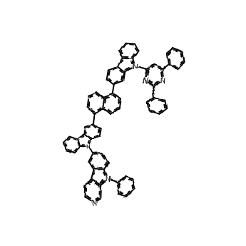 c1ccc(-c2cc(-n3c4ccccc4c4ccc(-c5cccc6c(-c7ccc8c(c7)c7ccccc7n8-c7ccc8c(c7)c7ccncc7n8-c7ccccc7)cccc56)cc43)nc(-c3ccccc3)n2)cc1